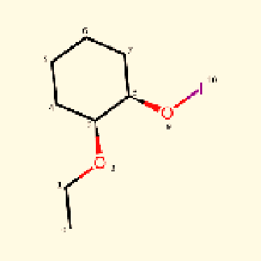 CCO[C@H]1CCCC[C@H]1OI